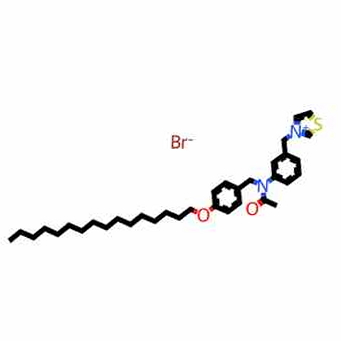 CCCCCCCCCCCCCCCCOc1ccc(CN(C(C)=O)c2cccc(C[n+]3ccsc3)c2)cc1.[Br-]